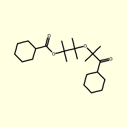 CC(C)(OC(C)(C)C(C)(C)OC(=O)C1CCCCC1)C(=O)C1CCCCC1